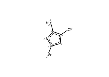 Cc1nn(C(C)C)cc1Cl